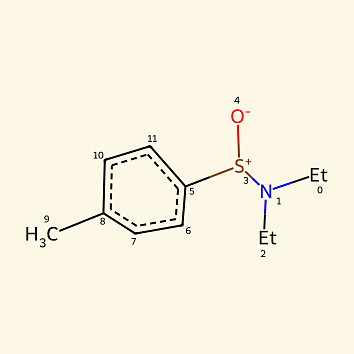 CCN(CC)[S+]([O-])c1ccc(C)cc1